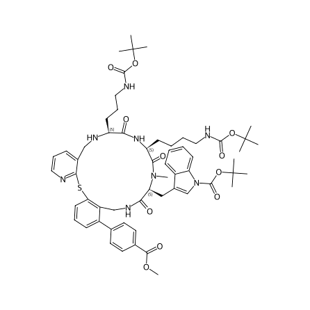 COC(=O)c1ccc(-c2cccc3c2CNC(=O)[C@H](Cc2cn(C(=O)OC(C)(C)C)c4ccccc24)N(C)C(=O)[C@H](CCCCNC(=O)OC(C)(C)C)NC(=O)[C@H](CCCNC(=O)OC(C)(C)C)NCc2cccnc2S3)cc1